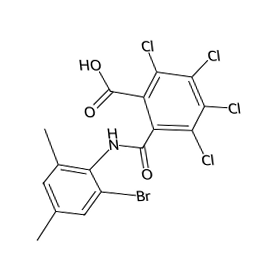 Cc1cc(C)c(NC(=O)c2c(Cl)c(Cl)c(Cl)c(Cl)c2C(=O)O)c(Br)c1